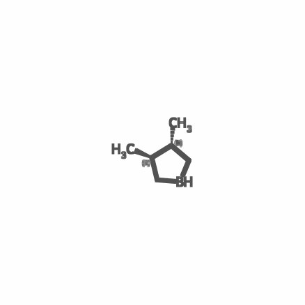 C[C@@H]1CBC[C@H]1C